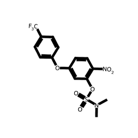 CN(C)S(=O)(=O)Oc1cc(Oc2ccc(C(F)(F)F)cc2)ccc1[N+](=O)[O-]